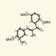 COc1ccc(OC)c(C(=O)C(=Cc2ccc(OC)c(N)c2)C(C)C)c1